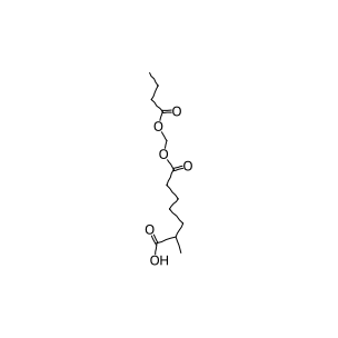 CCCC(=O)OCOC(=O)CCCCC(C)C(=O)O